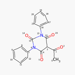 CC(=O)C1C(=O)N(c2ccccc2)C(=O)N(c2ccccc2)C1=O